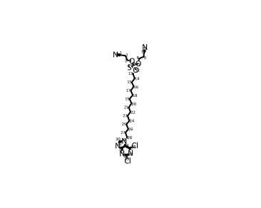 N#CCCOP(=S)(OCCC#N)OCCCCCCCCCCCCCCCCn1cnc2nc(Cl)nc(Cl)c21